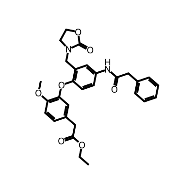 CCOC(=O)Cc1ccc(OC)c(Oc2ccc(NC(=O)Cc3ccccc3)cc2CN2CCOC2=O)c1